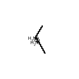 CCCCCCCCCCCC(N)OS(=O)OC(N)CCCCCCCCCCC